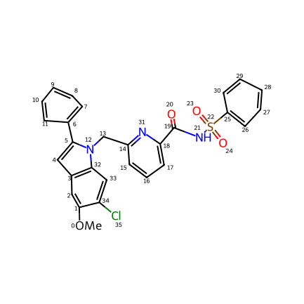 COc1cc2cc(-c3ccccc3)n(Cc3cccc(C(=O)NS(=O)(=O)c4ccccc4)n3)c2cc1Cl